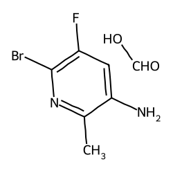 Cc1nc(Br)c(F)cc1N.O=CO